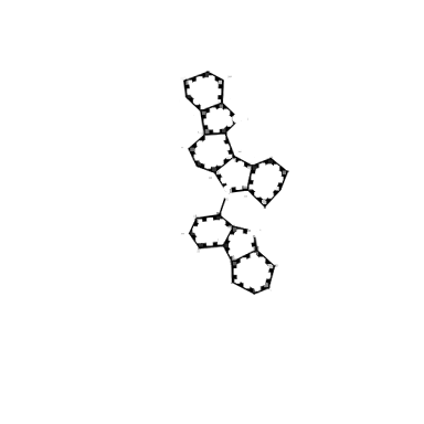 c1ccc2c(c1)oc1c(-n3c4ccccc4c4c5sc6ccccc6c5ccc43)cccc12